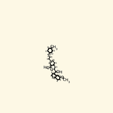 COc1ccc2nccc([C@H](O)CC[C@@H]3CCN(CCSc4ccc(C)cc4)C[C@@H]3C(=O)O)c2c1